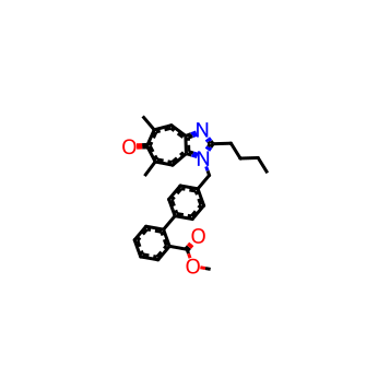 CCCCc1nc2cc(C)c(=O)c(C)cc2n1Cc1ccc(-c2ccccc2C(=O)OC)cc1